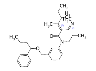 CCCC(OCc1cccc(N(CCC)C(=O)C(/C=N\C)=C(\C)C(C)CC)c1)c1ccccc1